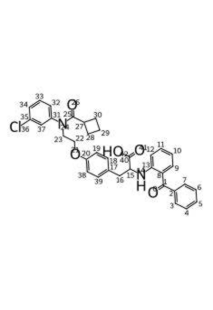 O=C(c1ccccc1)c1ccccc1NC(Cc1ccc(OCCN(C(=O)C2CCC2)c2cccc(Cl)c2)cc1)C(=O)O